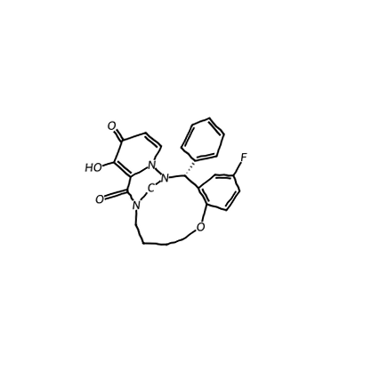 O=C1c2c(O)c(=O)ccn2N2CN1CCCCOc1ccc(F)cc1[C@H]2c1ccccc1